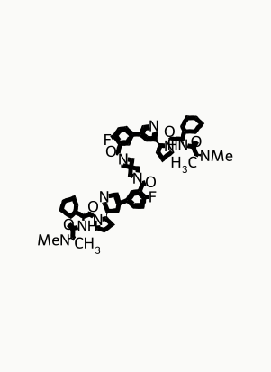 CN[C@@H](C)C(=O)N[C@H](C(=O)N1CCC[C@H]1c1cncc(-c2ccc(F)c(C(=O)N3CC4(CN(C(=O)c5cc(C6=CN=CC([C@@H]7CCCN7C(=O)[C@@H](NC(=O)[C@H](C)NC)C7CCCCC7)C6)ccc5F)C4)C3)c2)c1)C1CCCCC1